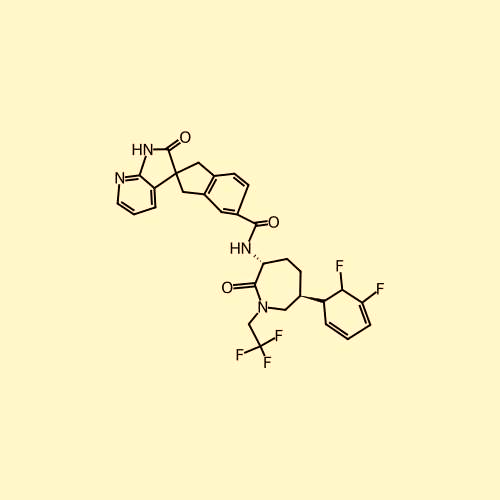 O=C(N[C@@H]1CC[C@@H](C2C=CC=C(F)C2F)CN(CC(F)(F)F)C1=O)c1ccc2c(c1)CC1(C2)C(=O)Nc2ncccc21